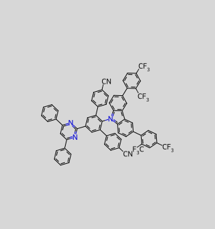 N#Cc1ccc(-c2cc(-c3nc(-c4ccccc4)cc(-c4ccccc4)n3)cc(-c3ccc(C#N)cc3)c2-n2c3ccc(-c4ccc(C(F)(F)F)cc4C(F)(F)F)cc3c3cc(-c4ccc(C(F)(F)F)cc4C(F)(F)F)ccc32)cc1